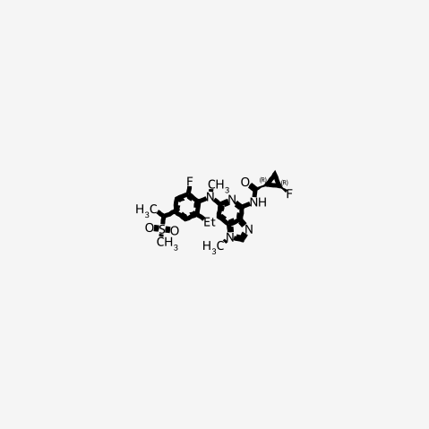 CCc1cc(C(C)S(C)(=O)=O)cc(F)c1N(C)c1cc2c(ncn2C)c(NC(=O)[C@H]2C[C@H]2F)n1